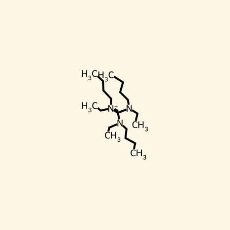 CCCCN(CC)C(N(CC)CCCC)=[N+](CC)CCCC